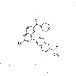 CC(=O)N1CCc2cc(-c3cc(C)nc4ccc(C(=O)N5CCOCC5)cc34)ccc2C1